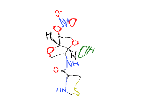 Cl.O=C(N[C@H]1CO[C@H]2[C@@H]1OC[C@@H]2O[N+](=O)[O-])C1CSCN1